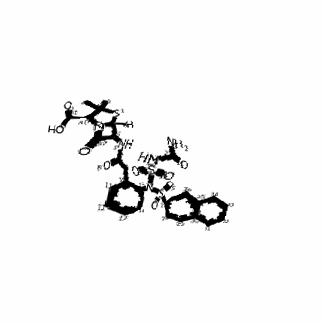 CC1(C)S[C@@H]2C(NC(=O)Cc3ccccc3N(S(=O)(=O)NC(N)=O)S(=O)(=O)c3ccc4ccccc4c3)C(=O)N2[C@H]1C(=O)O